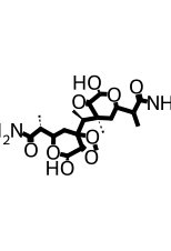 COC1([C@@H](C)[C@]2(C)CC(C(C)C(N)=O)O[C@@H](O)C2=O)CC([C@@H](C)C(N)=O)O[C@H](O)C1=O